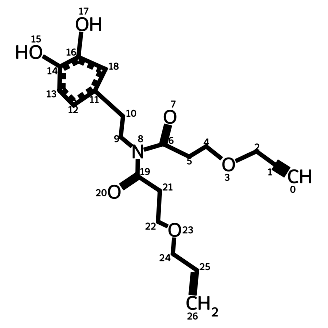 C#CCOCCC(=O)N(CCc1ccc(O)c(O)c1)C(=O)CCOCC=C